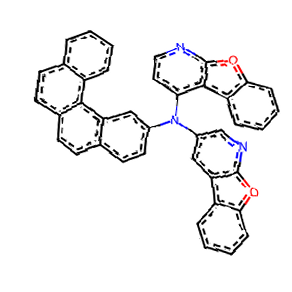 c1ccc2c(c1)ccc1ccc3ccc(N(c4cnc5oc6ccccc6c5c4)c4ccnc5oc6ccccc6c45)cc3c12